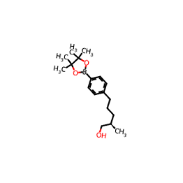 C[C@@H](CO)CCCc1ccc(B2OC(C)(C)C(C)(C)O2)cc1